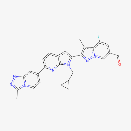 Cc1c(-c2cc3ccc(-c4ccn5c(C)nnc5c4)nc3n2CC2CC2)nn2cc(C=O)cc(F)c12